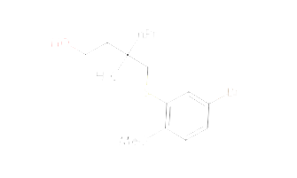 CCCC(C)(CCO)CSc1cc(Br)ccc1OC